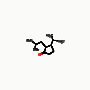 COC(CC1C(=O)CCC1C(C(=O)O)C(=O)O)OC